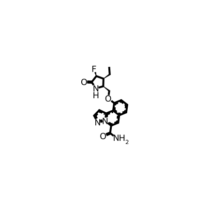 CC[C@@H]1[C@H](F)C(=O)N[C@@H]1COc1cccc2cc(C(N)=O)n3nccc3c12